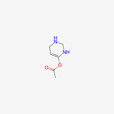 CC(=O)OC1=CCNCN1